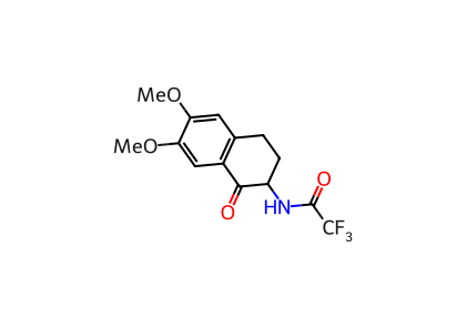 COc1cc2c(cc1OC)C(=O)C(NC(=O)C(F)(F)F)CC2